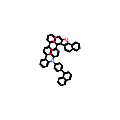 c1ccc(-c2ccc(-c3ccccc3N(c3ccc(-c4cccc5ccccc45)cc3)c3ccc(-c4cccc5oc6c7ccccc7ccc6c45)cc3)cc2)cc1